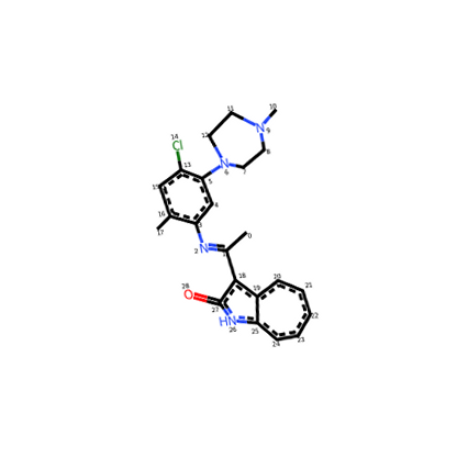 C/C(=N\c1cc(N2CCN(C)CC2)c(Cl)cc1C)c1c2cccccc-2[nH]c1=O